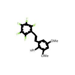 CCCc1c(C=Cc2c(F)c(F)c(F)c(F)c2F)cc(OC)cc1OC